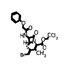 CC1=C(C(=O)OCC(Cl)(Cl)Cl)N2C(=O)C(NC(=O)COc3ccccc3)[C@@H]2SC1=CBr